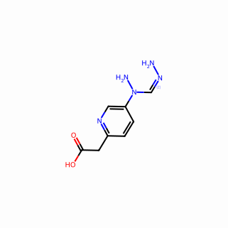 N/N=C\N(N)c1ccc(CC(=O)O)nc1